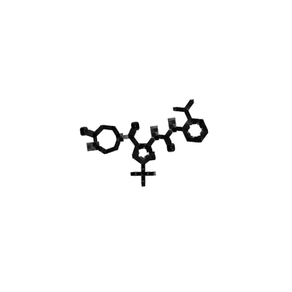 CC(C)c1ccccc1NC(=O)Nc1sc(C(C)(C)C)cc1C(=O)N1CCNC(=O)CC1